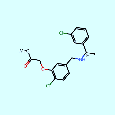 COC(=O)COc1cc(CN[C@H](C)c2cccc(Cl)c2)ccc1Cl